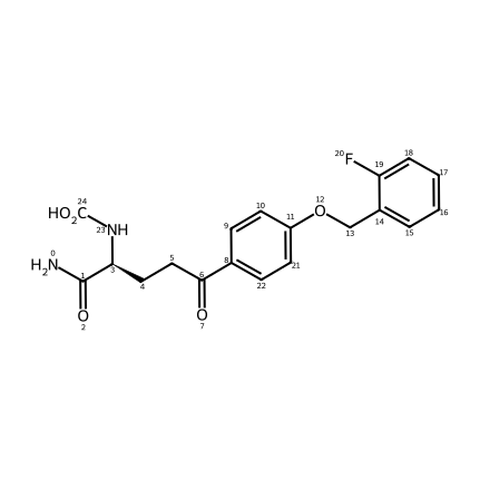 NC(=O)[C@H](CCC(=O)c1ccc(OCc2ccccc2F)cc1)NC(=O)O